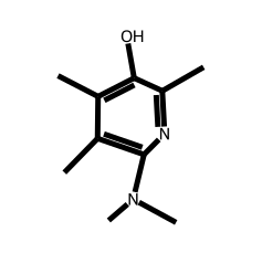 Cc1nc(N(C)C)c(C)c(C)c1O